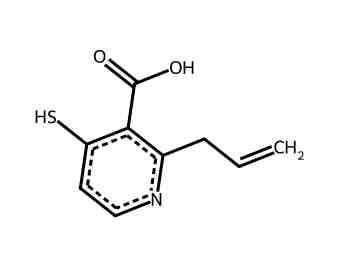 C=CCc1nccc(S)c1C(=O)O